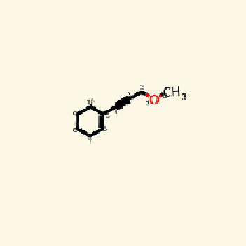 COCC#CC1=CC[CH]CC1